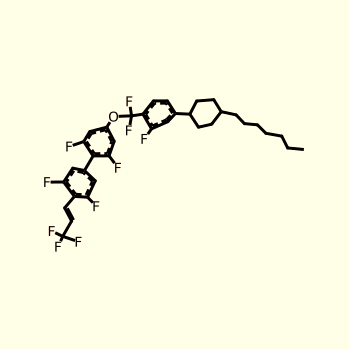 CCCCCCCC1CCC(c2ccc(C(F)(F)Oc3cc(F)c(-c4cc(F)c(/C=C/C(F)(F)F)c(F)c4)c(F)c3)c(F)c2)CC1